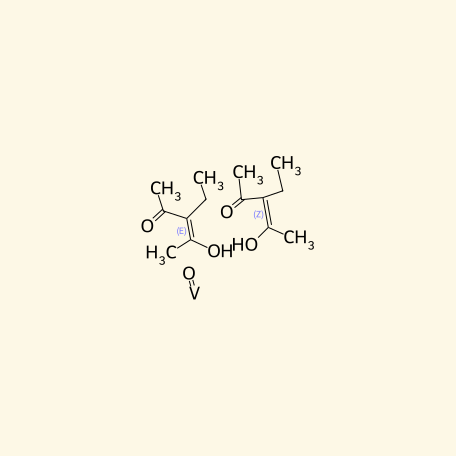 CC/C(C(C)=O)=C(/C)O.CC/C(C(C)=O)=C(\C)O.[O]=[V]